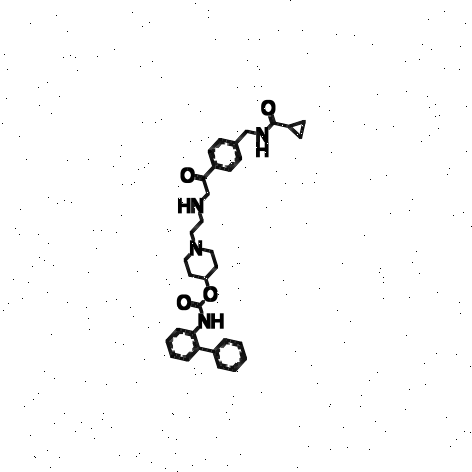 O=C(Nc1ccccc1-c1ccccc1)OC1CCN(CCNCC(=O)c2ccc(CNC(=O)C3CC3)cc2)CC1